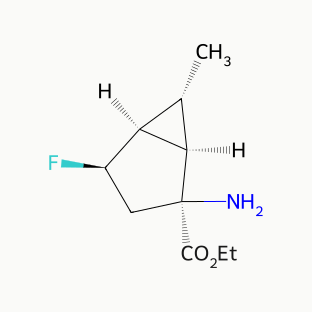 CCOC(=O)[C@]1(N)C[C@@H](F)[C@H]2[C@H](C)[C@H]21